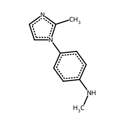 CNc1ccc(-n2ccnc2C)cc1